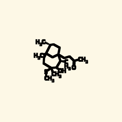 CS[C@]1(C)CC[C@@]2(C)CC(CCC(C)=O)(CC[C@H]2C)[C@@H](C)C1O